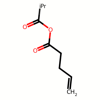 C=CCCC(=O)OC(=O)C(C)C